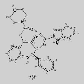 O.O=C(N[C@H]1C(=O)N(CC(=O)N2CCOCC2)c2ccccc2S[C@@H]1c1ccccc1)c1cc2ccccc2[nH]1